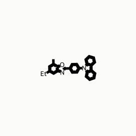 CCc1cc(C)c2oc(-c3ccc(-n4c5ccccc5c5ccccc54)cc3)nc2c1